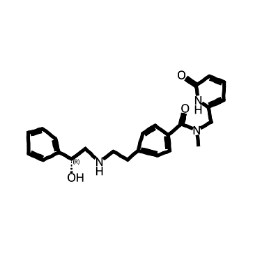 CN(Cc1cccc(=O)[nH]1)C(=O)c1ccc(CCNC[C@H](O)c2ccccc2)cc1